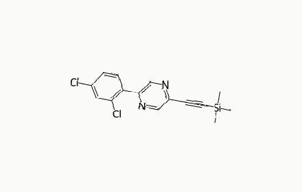 C[Si](C)(C)C#Cc1cnc(-c2ccc(Cl)cc2Cl)cn1